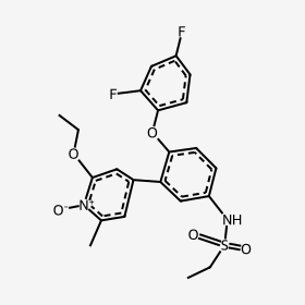 CCOc1cc(-c2cc(NS(=O)(=O)CC)ccc2Oc2ccc(F)cc2F)cc(C)[n+]1[O-]